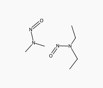 CCN(CC)N=O.CN(C)N=O